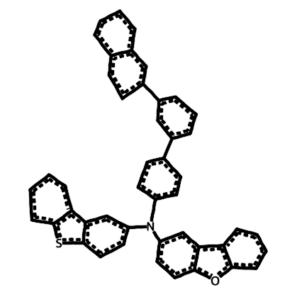 c1cc(-c2ccc(N(c3ccc4oc5ccccc5c4c3)c3ccc4sc5ccccc5c4c3)cc2)cc(-c2ccc3ccccc3c2)c1